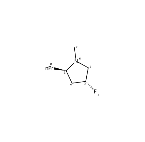 CCC[C@@H]1C[C@@H](F)CN1C